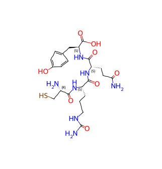 NC(=O)CC[C@H](NC(=O)[C@H](CCCNC(N)=O)NC(=O)[C@@H](N)CS)C(=O)N[C@@H](Cc1ccc(O)cc1)C(=O)O